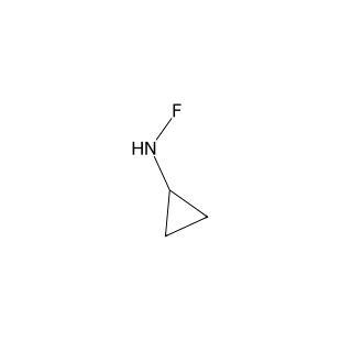 FNC1CC1